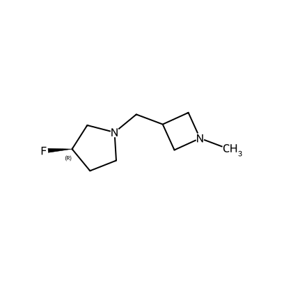 CN1CC(CN2CC[C@@H](F)C2)C1